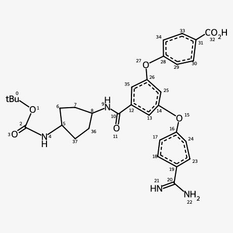 CC(C)(C)OC(=O)NC1CCC(NC(=O)c2cc(Oc3ccc(C(=N)N)cc3)cc(Oc3ccc(C(=O)O)cc3)c2)CC1